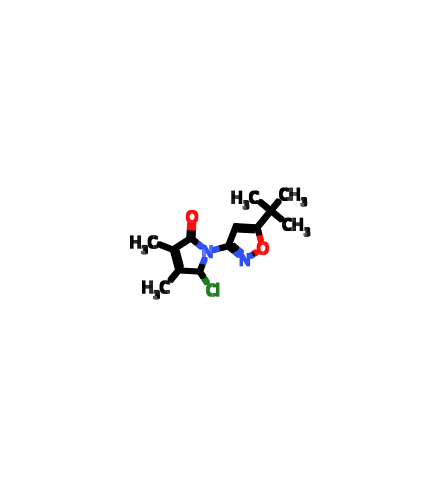 CC1=C(C)C(Cl)N(c2cc(C(C)(C)C)on2)C1=O